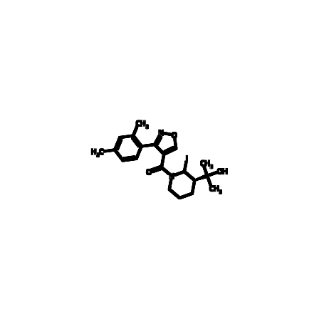 Cc1ccc(-c2nocc2C(=O)N2CCC[C@H](C(C)(C)O)C2I)c(C)c1